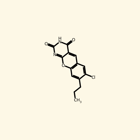 CCCc1cc2oc3nc(=O)[nH]c(=O)c-3cc2cc1Cl